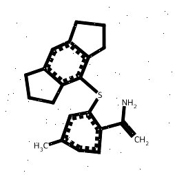 C=C(N)c1ccc(C)cc1Sc1c2c(cc3c1CCC3)CCC2